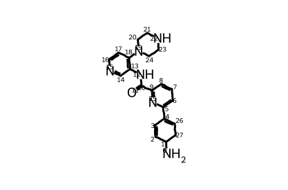 NC1C=CC(c2cccc(C(=O)Nc3cnccc3N3CCNCC3)n2)=CC1